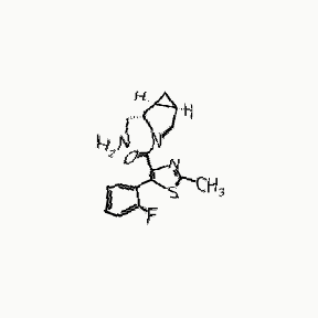 Cc1nc(C(=O)N2C[C@@H]3C[C@@H]3[C@H]2CN)c(-c2ccccc2F)s1